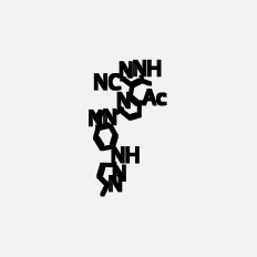 CC(=O)c1ccc(-n2cnc3ccc(Nc4ccc(C)nn4)cc32)nc1-c1c(C#N)n[nH]c1C